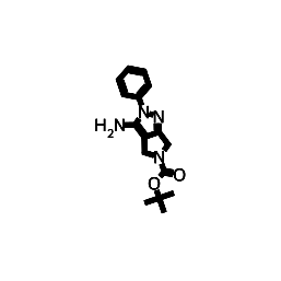 CC(C)(C)OC(=O)N1Cc2nn(-c3ccccc3)c(N)c2C1